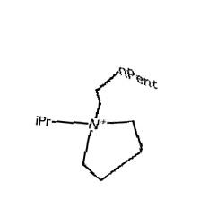 CCCCCC[N+]1(C(C)C)CCCC1